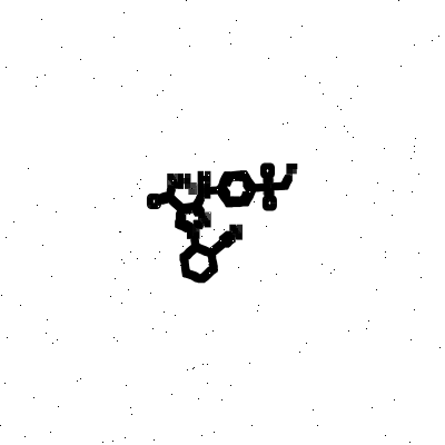 N#CC1CCCCC1n1cc(C(N)=O)c(Nc2ccc(S(=O)(=O)CF)cc2)n1